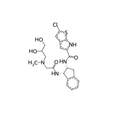 CN(CC(=O)N[C@H]1c2ccccc2C[C@H]1NC(=O)c1cc2cc(Cl)sc2[nH]1)CC(O)CO